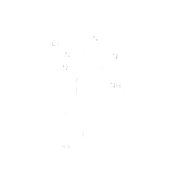 [CH2]Cn1nc(-c2ccc(CC(C)C)cc2)c2c(N)ncnc21